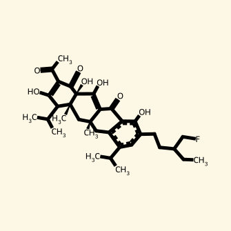 CCC(CF)CCc1cc(C(C)C)c2c(c1O)C(=O)C1=C(O)[C@@]3(O)C(=O)C(C(C)=O)=C(O)C(C(C)C)[C@@]3(C)C[C@@]1(C)C2